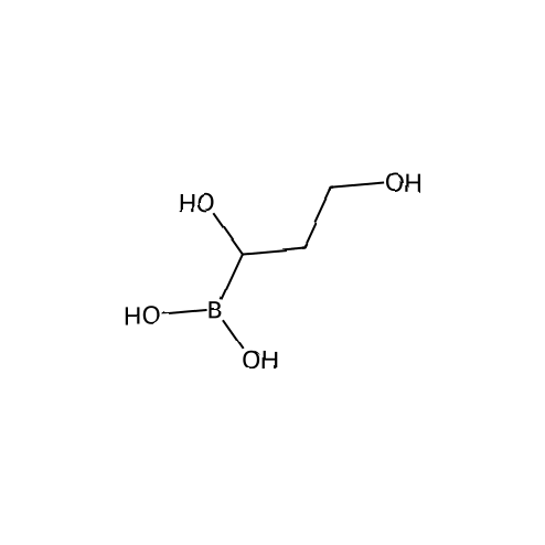 OCCC(O)B(O)O